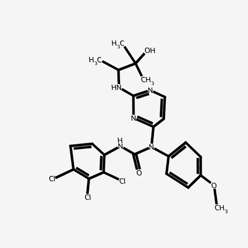 COc1ccc(N(C(=O)Nc2ccc(Cl)c(Cl)c2Cl)c2ccnc(NC(C)C(C)(C)O)n2)cc1